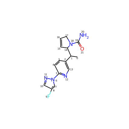 CC(c1ccc(-n2cc(F)cn2)nc1)C1C=CCN1C(N)=O